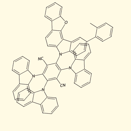 Cc1ccccc1-c1ccc2c(c1)c1c3oc4ccccc4c3ccc1n2-c1c(C#N)c(-n2c3ccccc3c3ccccc32)c(-n2c3ccccc3c3ccccc32)c(C#N)c1-n1c2ccccc2c2ccccc21